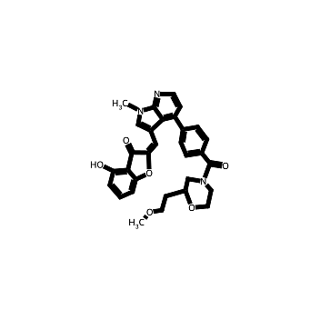 COCCC1CN(C(=O)c2ccc(-c3ccnc4c3c(C=C3Oc5cccc(O)c5C3=O)cn4C)cc2)CCO1